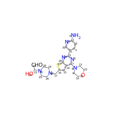 Nc1ccc(-c2nc(N3CCOCC3)c3cc(CN4CCN(C(O)C=O)CC4)sc3n2)cn1